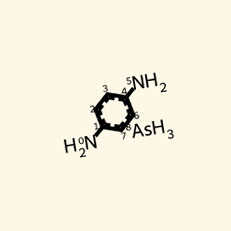 Nc1ccc(N)cc1.[AsH3]